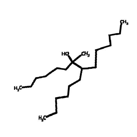 CCCCCCC(CCCCCC)C(C)(O)CCCCCC